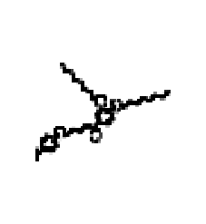 CCCCCCCCOc1ccc(C(=O)CCCCOc2ccc(I)cc2)cc1OCCCCCCCC